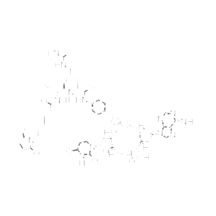 CC(C)C(NC(=O)CCCCCN1C(=O)C=CC1=O)C(=O)NC(CCCNC(N)=O)C(=O)Nc1ccc(CSP2(=O)OC[C@H]3O[C@@H](n4cnc5c(N)ncnc54)C[C@@H]3OP(=O)(O)OC[C@H]3O[C@@H](n4ccc(=O)[nH]c4=O)C[C@@H]3O2)cc1